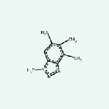 Cc1cc2c(nnn2C)c(C)c1C